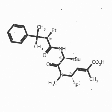 CC[C@@H](C(=O)N[C@H](C(=O)N(C)[C@H](C=C(C)C(=O)O)C(C)C)C(C)(C)C)C(C)(C)c1ccccc1